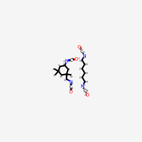 CC1(C)CC(N=C=O)CC(C)(CN=C=O)C1.O=C=NCCCCCCN=C=O